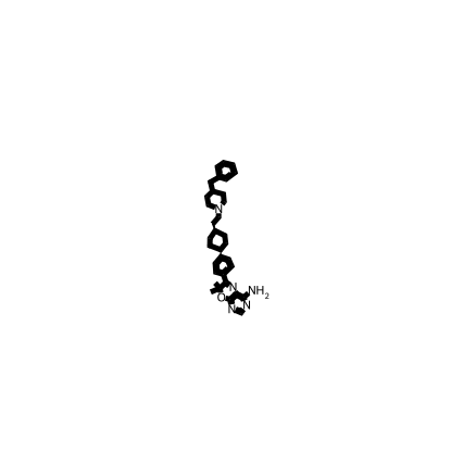 CC1(C)Oc2ncnc(N)c2N=C1c1ccc([C@H]2CC[C@H](CCN3CCC(Cc4ccccc4)CC3)CC2)cc1